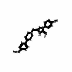 COc1ccc(C2CCN(CC3CN(c4ccc(O)cc4)C(=O)O3)CC2)cc1